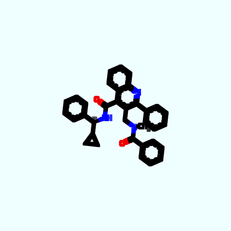 CN(Cc1c(-c2ccccc2)nc2ccccc2c1C(=O)N[C@H](c1ccccc1)C1CC1)C(=O)c1ccccc1